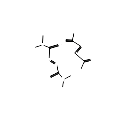 CN(C)C(=O)N=NC(=O)N(C)C.O=C(O)/C=C/C(=O)O